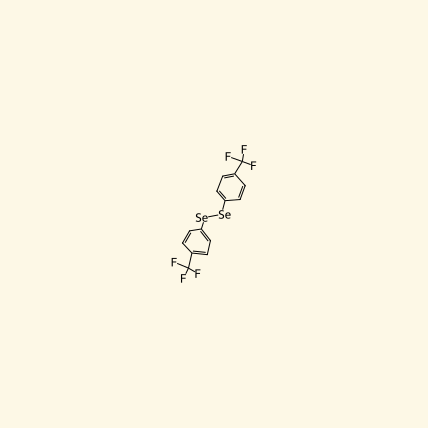 FC(F)(F)c1ccc([Se][Se]c2ccc(C(F)(F)F)cc2)cc1